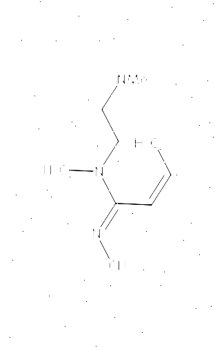 C/C=C\C(=N/C)N(C)CCNC